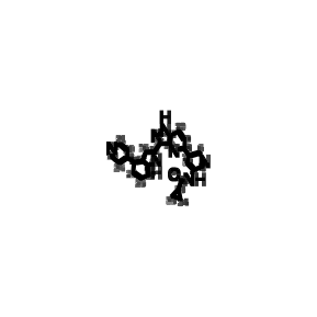 O=C(Nc1cncc(-c2ccc3[nH]nc(-c4cc5c(-c6ccncc6)cccc5[nH]4)c3n2)c1)C1CC1